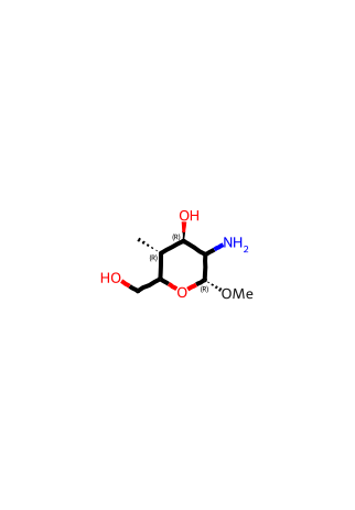 CO[C@@H]1OC(CO)[C@H](C)[C@@H](O)C1N